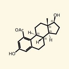 CC(=O)Oc1cc(O)cc2c1[C@H]1CC[C@]3(C)[C@@H](O)CC[C@H]3[C@@H]1CC2